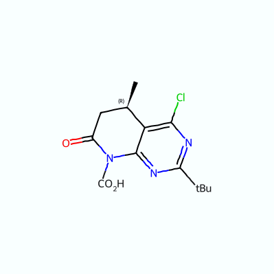 C[C@@H]1CC(=O)N(C(=O)O)c2nc(C(C)(C)C)nc(Cl)c21